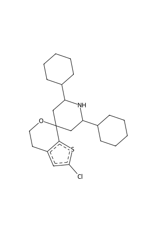 Clc1cc2c(s1)C1(CC(C3CCCCC3)NC(C3CCCCC3)C1)OCC2